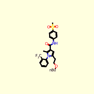 CCCCOCCc1cc(C(=O)Nc2ccc(S(C)(=O)=O)cc2)c(C)n1-c1ccccc1C(F)(F)F